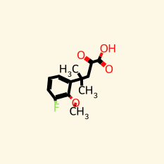 COc1c(F)cccc1C(C)(C)CC(=O)C(=O)O